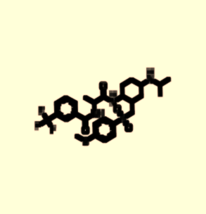 CSc1ccc(S(=O)(=O)CC2CC(NC(C)C)CCC2NC(=O)C(C)NC(=O)c2cccc(C(F)(F)F)c2)cc1